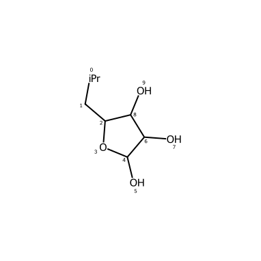 CC(C)CC1OC(O)C(O)C1O